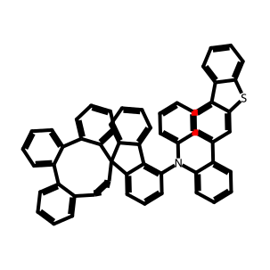 c1ccc(N(c2ccccc2-c2ccc3c(c2)sc2ccccc23)c2cccc3c2-c2ccccc2C32c3ccccc3-c3ccccc3-c3ccccc3-c3ccccc32)cc1